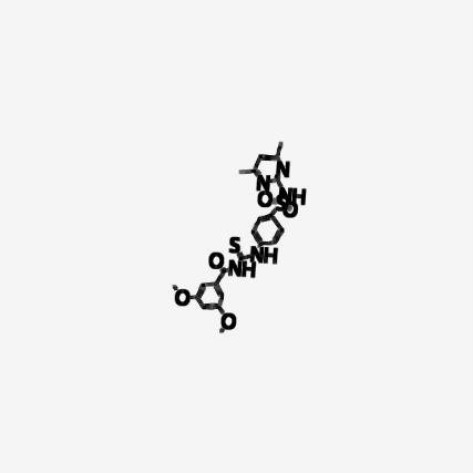 COc1cc(OC)cc(C(=O)NC(=S)Nc2ccc(S(=O)(=O)Nc3nc(C)cc(C)n3)cc2)c1